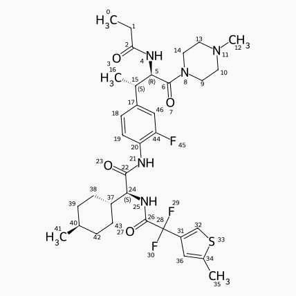 CCC(=O)N[C@@H](C(=O)N1CCN(C)CC1)[C@@H](C)c1ccc(NC(=O)[C@@H](NC(=O)C(F)(F)c2csc(C)c2)[C@H]2CC[C@H](C)CC2)c(F)c1